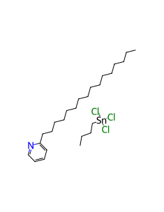 CCCCCCCCCCCCCCCCc1ccccn1.CCC[CH2][Sn]([Cl])([Cl])[Cl]